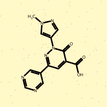 Cn1cc(-n2nc(-c3cncnc3)cc(C(=O)O)c2=O)cn1